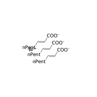 CCCCCC=CC(=O)[O-].CCCCCC=CC(=O)[O-].CCCCCC=CC(=O)[O-].[Bi+3]